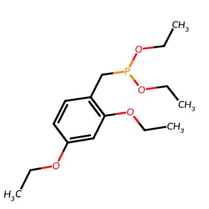 CCOc1ccc(CP(OCC)OCC)c(OCC)c1